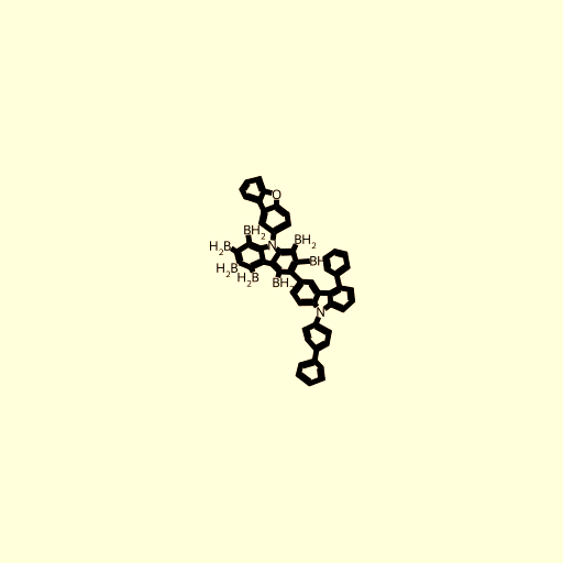 Bc1c(B)c(B)c2c(c1B)c1c(B)c(-c3ccc4c(c3)c3c(-c5ccccc5)cccc3n4-c3ccc(-c4ccccc4)cc3)c(B)c(B)c1n2-c1ccc2oc3ccccc3c2c1